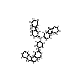 c1ccc2c(c1)oc1ccc3ccc(-c4ccc(N(c5ccc6c(c5)sc5ccccc56)c5ccc6sc7ccccc7c6c5)cc4)cc3c12